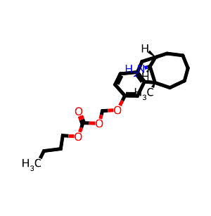 CCCCOC(=O)OCOc1ccc2c(c1)[C@@]1(C)CCCCC[C@@H](C2)[C@@H]1N